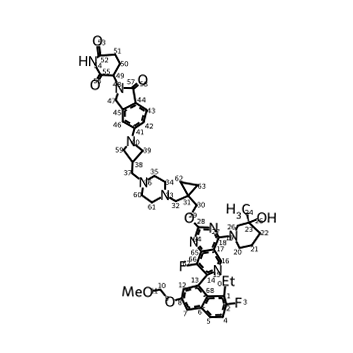 CCc1c(F)ccc2cc(OCOC)cc(-c3ncc4c(N5CCC[C@@](C)(O)C5)nc(OCC5(CN6CCN(CC7CN(c8ccc9c(c8)CN(C8CCC(=O)NC8=O)C9=O)C7)CC6)CC5)nc4c3F)c12